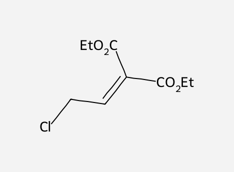 CCOC(=O)C(=CCCl)C(=O)OCC